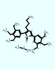 CCCCC1=C(c2cc(CC)c(CC)c(CC)c2)[N+](=[N-])C(c2cc(CC)c(CC)c(CC)c2)=C1.[CH3][Ni][CH3]